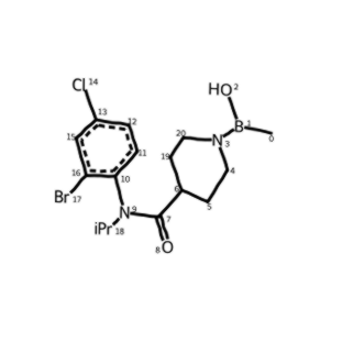 CB(O)N1CCC(C(=O)N(c2ccc(Cl)cc2Br)C(C)C)CC1